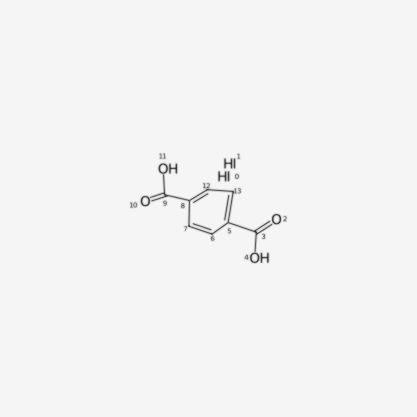 I.I.O=C(O)c1ccc(C(=O)O)cc1